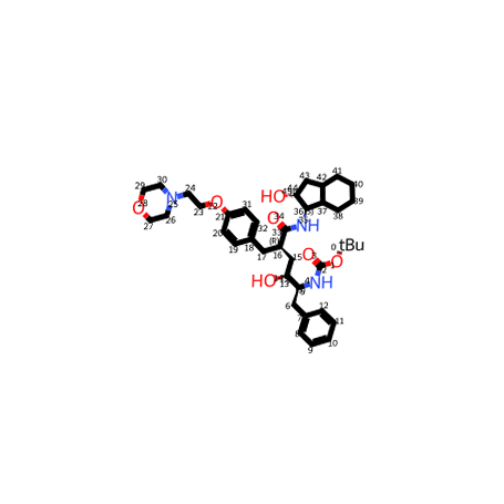 CC(C)(C)OC(=O)N[C@@H](Cc1ccccc1)[C@@H](O)C[C@@H](Cc1ccc(OCCN2CCOCC2)cc1)C(=O)N[C@H]1C2CCCCC2C[C@H]1O